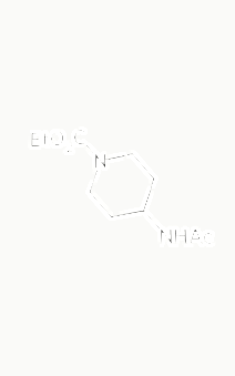 [CH2]C(=O)NC1CCN(C(=O)OCC)CC1